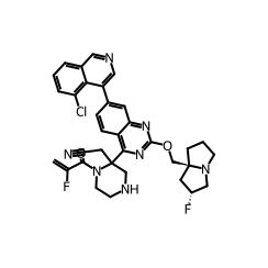 C=C(F)C(=O)N1CCNCC1(CC#N)c1nc(OC[C@@]23CCCN2C[C@H](F)C3)nc2cc(-c3cncc4cccc(Cl)c34)ccc12